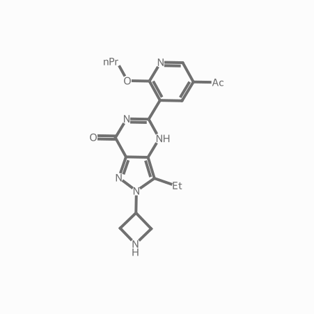 CCCOc1ncc(C(C)=O)cc1-c1nc(=O)c2nn(C3CNC3)c(CC)c2[nH]1